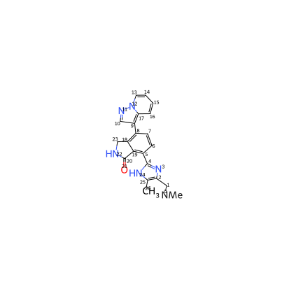 CNCc1nc(-c2ccc(-c3cnn4ccccc34)c3c2C(=O)NC3)[nH]c1C